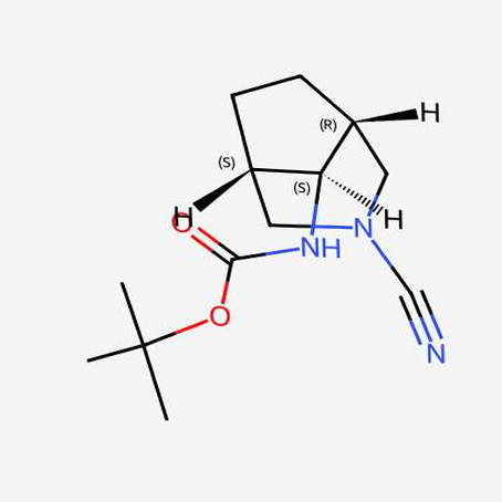 CC(C)(C)OC(=O)N[C@@H]1[C@@H]2CC[C@H]1CN(C#N)C2